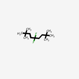 CC(C)(C)CCC(F)(F)CCC(C)(C)C